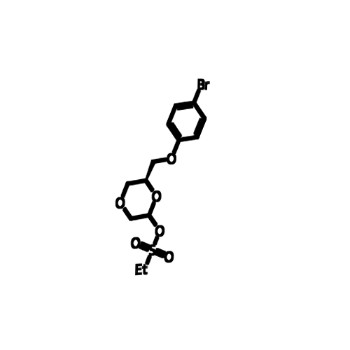 CCS(=O)(=O)OC1COC[C@@H](COc2ccc(Br)cc2)O1